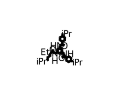 CCC(CCCC(C)C)C(=O)Nc1cc(NC(=O)C2CCC(C(C)C)CC2)cc(NC(=O)C2CCC(C(C)C)CC2)c1